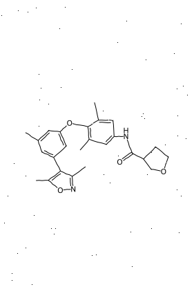 Cc1cc(Oc2c(C)cc(NC(=O)C3CCOC3)cc2C)cc(-c2c(C)noc2C)c1